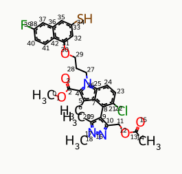 COC(=O)c1c(C)c2c(-c3c(COC(C)=O)nn(C)c3C)c(Cl)ccc2n1CCCOc1cc(S)cc2cc(F)ccc12